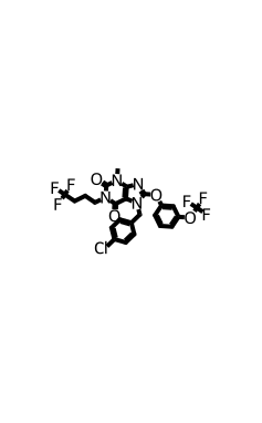 Cn1c(=O)n(CCCC(F)(F)F)c(=O)c2c1nc(Oc1cccc(OC(F)(F)F)c1)n2Cc1ccc(Cl)cc1